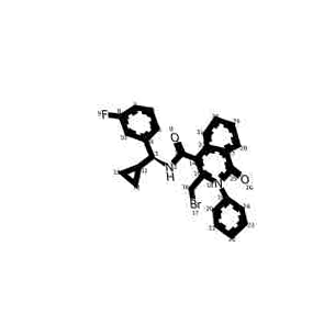 O=C(N[C@H](c1cccc(F)c1)C1CC1)c1c(CBr)n(-c2ccccc2)c(=O)c2ccccc12